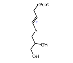 CCCCCC/C=C/SCC(O)CO